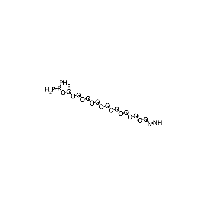 N=NOOOOOOOOOOOOOOOOOOP(P)P